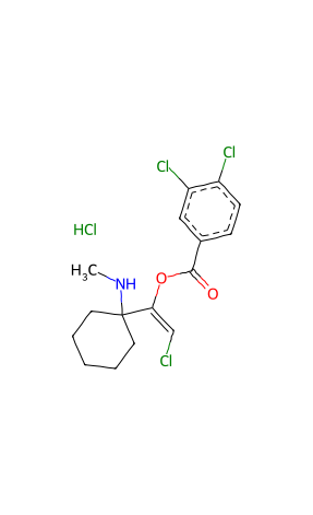 CNC1(C(=CCl)OC(=O)c2ccc(Cl)c(Cl)c2)CCCCC1.Cl